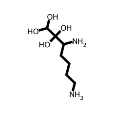 NCCCCC(N)C(O)(O)C(O)O